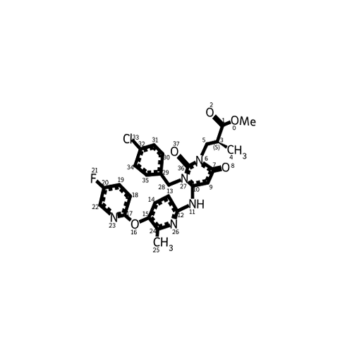 COC(=O)[C@@H](C)Cn1c(=O)cc(Nc2ccc(Oc3ccc(F)cn3)c(C)n2)n(Cc2ccc(Cl)cc2)c1=O